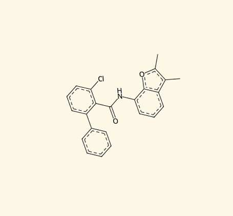 Cc1oc2c(NC(=O)c3c(Cl)cccc3-c3ccccc3)cccc2c1C